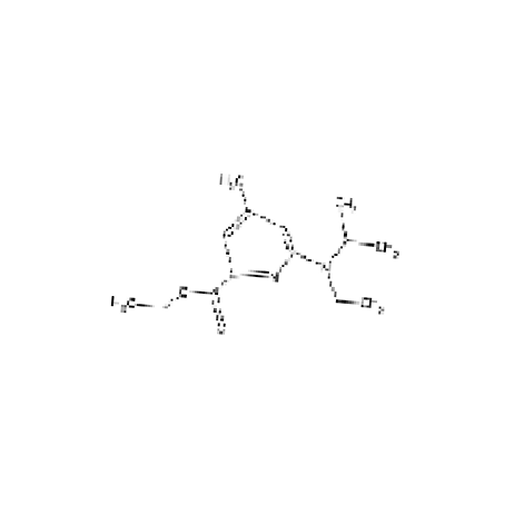 CCOC(=O)c1cc(C)cc(N(CC)C(C)C)n1